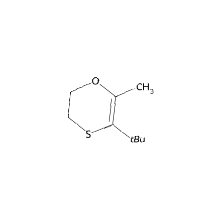 CC1=C(C(C)(C)C)SCCO1